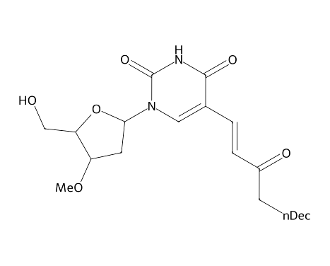 CCCCCCCCCCCC(=O)/C=C/c1cn(C2CC(OC)C(CO)O2)c(=O)[nH]c1=O